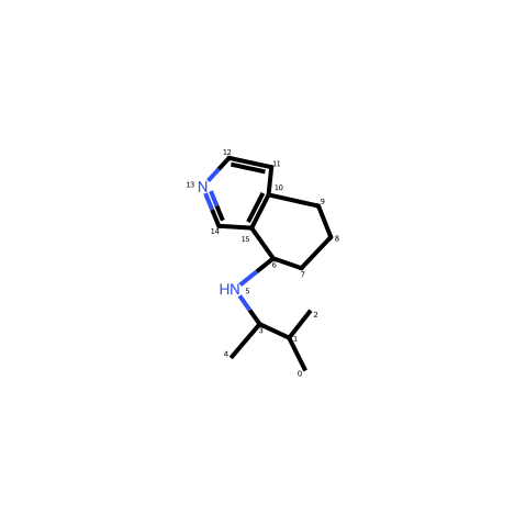 CC(C)C(C)NC1CCCc2ccncc21